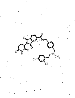 CN(CCc1ccc(Cl)cc1Cl)Cc1ccc(CNC(=O)c2ccc3c(c2)C(=O)N(C2CCC(=O)NC2=O)C3=O)cc1